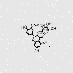 COc1cc(-c2oc3cc(O)cc(O)c3c(=O)c2O[C@@H]2OC[C@@H](O)[C@H](O)[C@H]2O)ccc1O